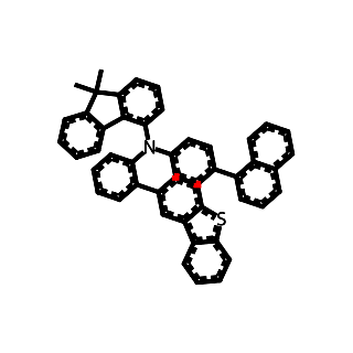 CC1(C)c2ccccc2-c2c(N(c3ccc(-c4cccc5ccccc45)cc3)c3ccccc3-c3ccc4sc5ccccc5c4c3)cccc21